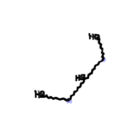 OCCCCCCCC/C=C\CCCCCCCCC(O)CCCCCCCC/C=C\CCCCCCCCO